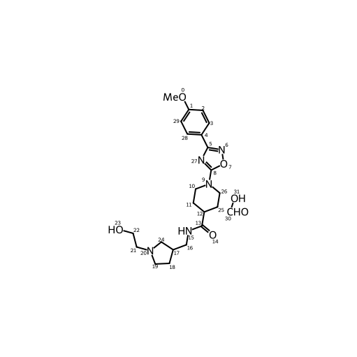 COc1ccc(-c2noc(N3CCC(C(=O)NCC4CCN(CCO)C4)CC3)n2)cc1.O=CO